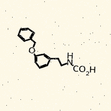 O=C(O)NCCc1cccc(OCc2ccccc2)c1